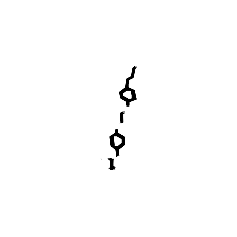 CCCCc1ccc(OCCOc2ccc(C[C@H](OC)C(=O)O)cc2)cc1